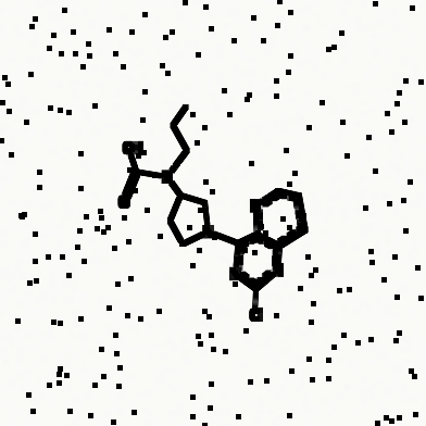 CCCN(C(=O)O)C1CCN(c2nc(Cl)nc3cccnc23)C1